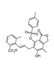 Cc1ccc(S(=O)(=O)Oc2c(C/C=C/c3c(C)cccc3C(=O)O)c(O)c(C)c3c2C(=O)OC3)cc1